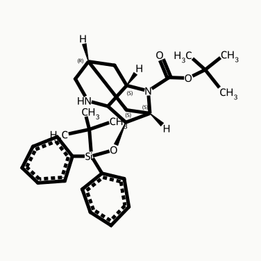 CC(C)(C)OC(=O)N1[C@H]2C[C@H]3CNC2[C@H](O[Si](c2ccccc2)(c2ccccc2)C(C)(C)C)[C@@H]1C3